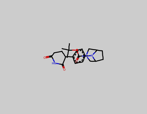 CC(C)(C)OC(=O)N1CC2CCC(C1)N2c1ccc(C2CCC(=O)NC2=O)cc1